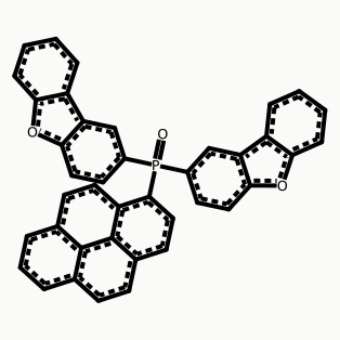 O=P(c1ccc2oc3ccccc3c2c1)(c1ccc2oc3ccccc3c2c1)c1ccc2ccc3cccc4ccc1c2c34